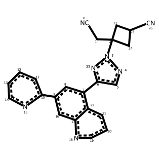 N#CCC1(n2ncc(-c3cc(-c4ccccn4)cc4ncccc34)n2)CC(C#N)C1